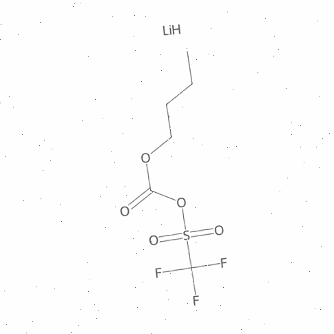 CCCCOC(=O)OS(=O)(=O)C(F)(F)F.[LiH]